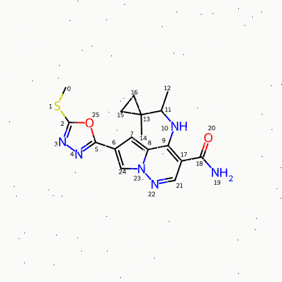 CSc1nnc(-c2cc3c(NC(C)C4(C)CC4)c(C(N)=O)cnn3c2)o1